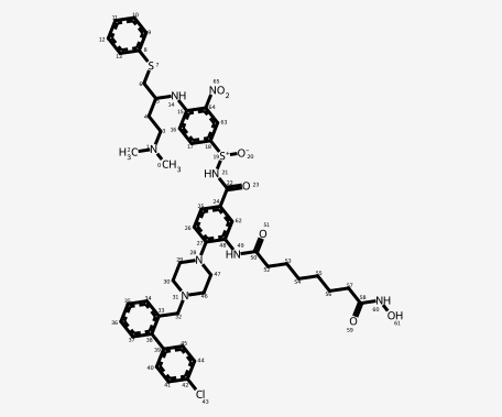 CN(C)CCC(CSc1ccccc1)Nc1ccc([S+]([O-])NC(=O)c2ccc(N3CCN(Cc4ccccc4-c4ccc(Cl)cc4)CC3)c(NC(=O)CCCCCCC(=O)NO)c2)cc1[N+](=O)[O-]